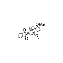 COc1ccc2c3c1O[C@H]1C[C@H](N4C(=O)c5ccccc5C4=O)C=C[C@@]31CCN(C)C2